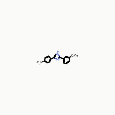 COc1cccc(-c2nc(-c3ccc([N+](=O)[O-])cc3)c[nH]2)c1